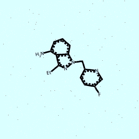 CCc1nn(Cc2ccc(F)cn2)c2cccc(N)c12